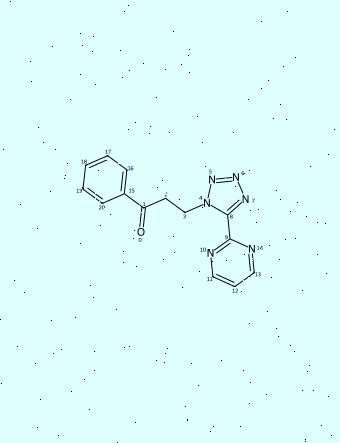 O=C(CCn1nnnc1-c1ncccn1)c1ccccc1